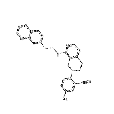 Cc1ccc(N2CCc3ncnc(NCCc4ccc5nccnc5c4)c3C2)c(C#N)c1